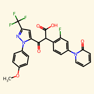 COc1ccc(-n2nc(C(F)(F)F)cc2C(=O)C(C(=O)O)c2ccc(-n3ccccc3=O)cc2F)cc1